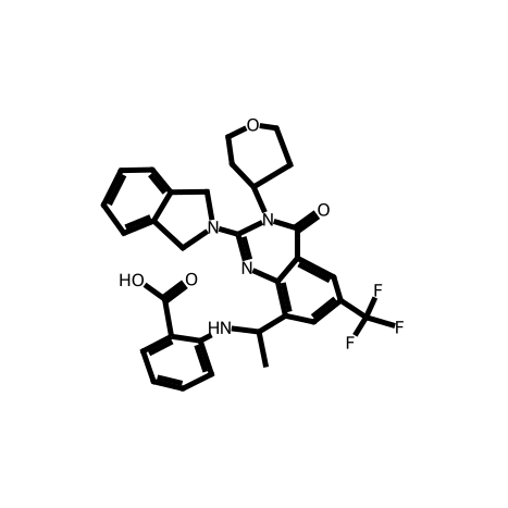 CC(Nc1ccccc1C(=O)O)c1cc(C(F)(F)F)cc2c(=O)n(C3CCOCC3)c(N3Cc4ccccc4C3)nc12